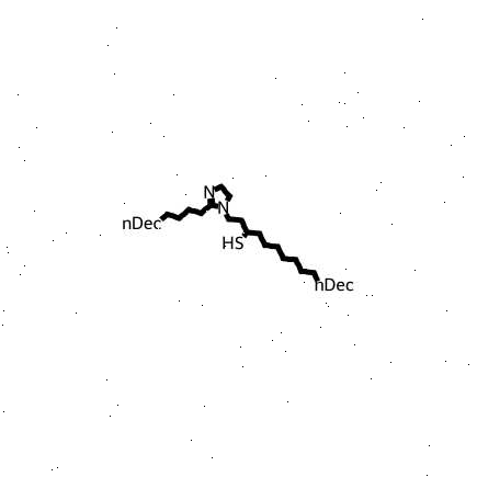 CCCCCCCCCCCCCCCCCC(S)CCN1CCN=C1CCCCCCCCCCCCCC